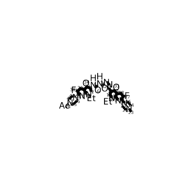 CCn1cc(NC(=O)Nc2nnc(-c3cn(CC)c4nc(N5CCN(C)CC5)c(F)cc4c3=O)o2)c(=O)c2cc(F)c(N3CCN(C(C)=O)CC3)nc21